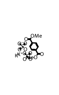 COC(=O)c1ccc(C(=O)OC)cc1.O=S(=O)([O-])OOS(=O)(=O)[O-].[K+].[K+]